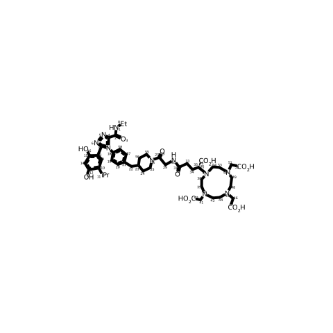 CCNC(=O)c1nnc(-c2cc(C(C)C)c(O)cc2O)n1-c1ccc(CC2CCN(C(=O)CNC(=O)CC[C@H](C(=O)O)N3CCN(CC(=O)O)CCN(CC(=O)O)CCN(CC(=O)O)CC3)CC2)cc1